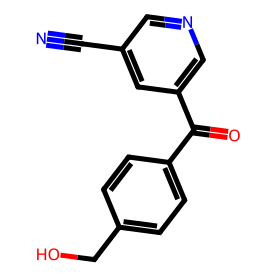 N#Cc1cncc(C(=O)c2ccc(CO)cc2)c1